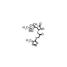 C[C@H](O[Si](C)(C)C(C)(C)C)[C@@H]1C(=O)N[C@@H]1SC(=O)CSc1nnnn1C